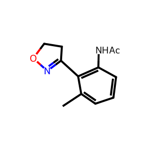 CC(=O)Nc1cccc(C)c1C1=NOCC1